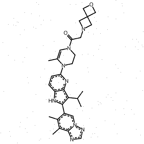 CC1=CN(C(=O)CN2CC3(COC3)C2)CCN1c1ccc2[nH]c(-c3cn4ncnc4c(C)c3C)c(C(C)C)c2n1